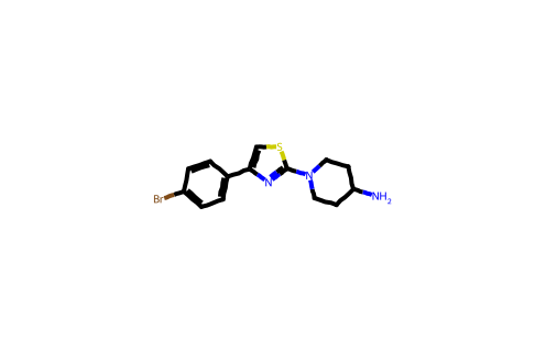 NC1CCN(c2nc(-c3ccc(Br)cc3)cs2)CC1